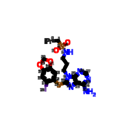 CC(C)CS(=O)(=O)NCCCn1c(Sc2cc3c(cc2I)OCO3)nc2c(N)ncnc21